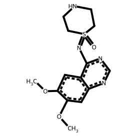 COc1cc2ncnc(N=S3(=O)CCNCC3)c2cc1OC